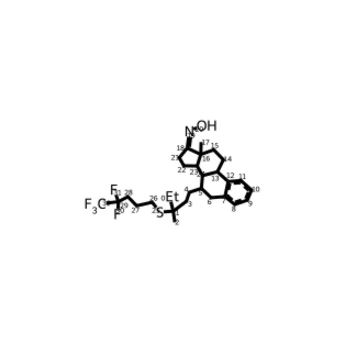 CCC(C)(CCC1Cc2ccccc2C2CCC3(C)/C(=N\O)CCC3C12)SCCCC(F)(F)C(F)(F)F